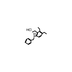 CCc1ccc(PCc2ccccc2)c(CC)c1CC.Cl